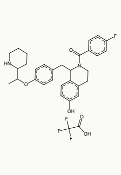 CC(Oc1ccc(CC2c3ccc(O)cc3CCN2C(=O)c2ccc(F)cc2)cc1)C1CCCCN1.O=C(O)C(F)(F)F